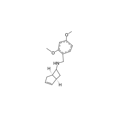 COc1ccc(CNC2C[C@H]3C=CC[C@@H]23)c(OC)c1